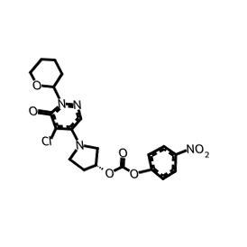 O=C(Oc1ccc([N+](=O)[O-])cc1)O[C@@H]1CCN(c2cnn(C3CCCCO3)c(=O)c2Cl)C1